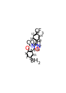 Bc1ccc(OCC(=O)O)c(-c2nc(-c3ccc(C(F)(F)F)cc3)no2)c1